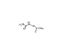 COC(=O)C=CNC(N)=O